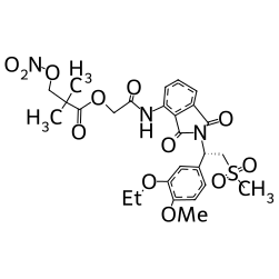 CCOc1cc([C@@H](CS(C)(=O)=O)N2C(=O)c3cccc(NC(=O)COC(=O)C(C)(C)CO[N+](=O)[O-])c3C2=O)ccc1OC